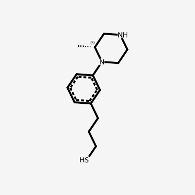 C[C@@H]1CNCCN1c1cccc(CCCS)c1